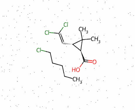 CC1(C)[C@@H](C=C(Cl)Cl)[C@@H]1C(=O)O.CCCCCCl